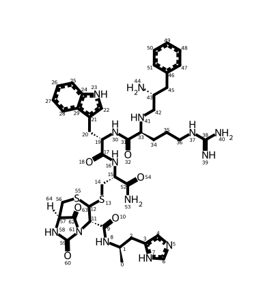 C[C@H](Cc1cnc[nH]1)NC(=O)[C@H]1C(SC[C@H](NC(=O)[C@H](Cc2c[nH]c3ccccc23)NC(=O)[C@H](CCCNC(=N)N)NC[C@H](N)Cc2ccccc2)C(N)=O)SC[C@@H]2NC(=O)N1C2=O